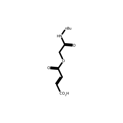 CCCCNC(=O)COC(=O)/C=C/C(=O)O